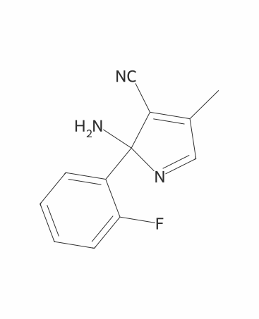 CC1=C(C#N)C(N)(c2ccccc2F)N=C1